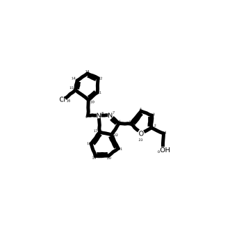 OCc1ccc(-c2nn(Cc3ccccc3Cl)c3ccccc23)o1